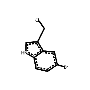 ClCc1c[nH]c2ccc(Br)cc12